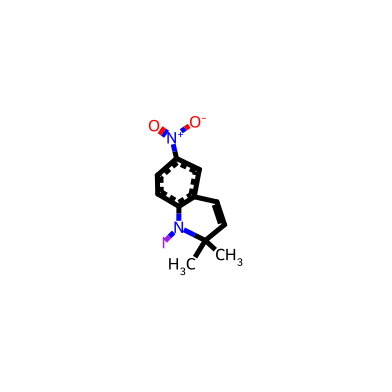 CC1(C)C=Cc2cc([N+](=O)[O-])ccc2N1I